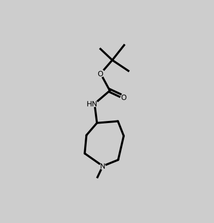 CN1CCCC(NC(=O)OC(C)(C)C)CC1